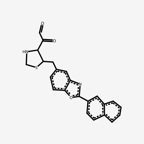 O=CC(=O)C1NCSC1Cc1ccc2oc(-c3ccc4ccccc4c3)nc2c1